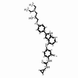 CCN(CC)C[C@@H](O)COc1ccc(-c2cc3c(Oc4ccc(NC(=O)NC5CC5)c(F)c4)ccnc3[nH]2)cc1